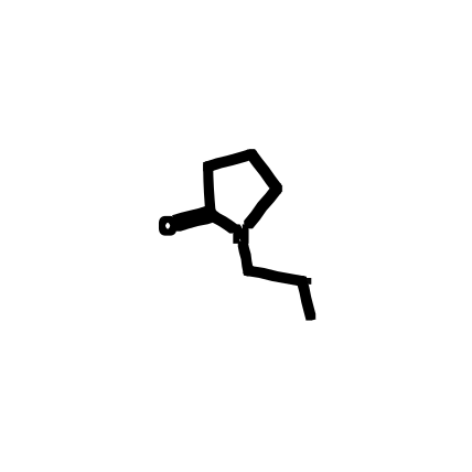 C[CH]CN1CCCC1=O